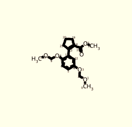 COCOc1ccc(OCOC)c(C2=C(C(=O)OC)CCC2)c1